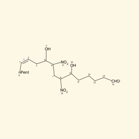 CCCCC/C=C\CC(O)C(CC(C(O)CCCC[C]=O)[N+](=O)[O-])[N+](=O)[O-]